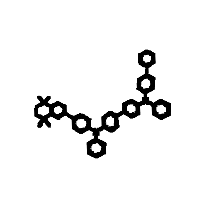 CC1(C)CCC(C)(C)c2cc(-c3ccc(N(c4ccccc4)c4ccc(-c5ccc(N(c6ccccc6)c6ccc(-c7ccccc7)cc6)cc5)cc4)cc3)ccc21